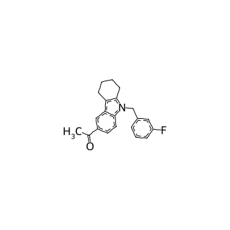 CC(=O)c1ccc2c(c1)c1c(n2Cc2cccc(F)c2)CCCC1